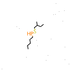 CCCCCPSCC(C)CC